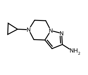 Nc1cc2n(n1)CCN(C1CC1)C2